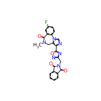 CN1Cc2c(-c3nc(CN4C(=O)c5ccccc5C4=O)no3)ncn2-c2ccc(F)cc2C1=O